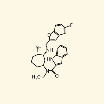 CCN(C(=O)c1cc2ccccc2[nH]1)[C@H]1CCC[C@H](S)[C@@H](NCc2cc3cc(F)ccc3o2)C1